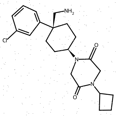 NC[C@]1(c2cccc(Cl)c2)CC[C@H](N2CC(=O)N(C3CCC3)CC2=O)CC1